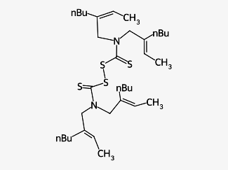 CC=C(CCCC)CN(CC(=CC)CCCC)C(=S)SSC(=S)N(CC(=CC)CCCC)CC(=CC)CCCC